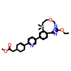 CCOc1nc2nn1COCC[Si](C)(C)c1cc(-c3ccc(C4=CCC(CC(=O)OC)CC4)nc3)ccc1-2